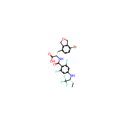 CC[C@@H](Nc1cc(F)c(C(=O)N[C@@H](Cc2ccc(Br)c3c2COC3)C(=O)O)c(F)c1)C(F)(F)F